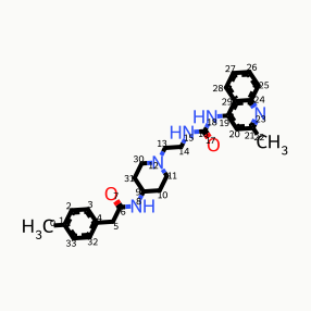 Cc1ccc(CC(=O)NC2CCN(CCNC(=O)Nc3cc(C)nc4ccccc34)CC2)cc1